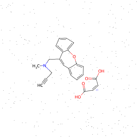 C#CCN(C)CC1=Cc2ccccc2Oc2ccccc21.O=C(O)/C=C\C(=O)O